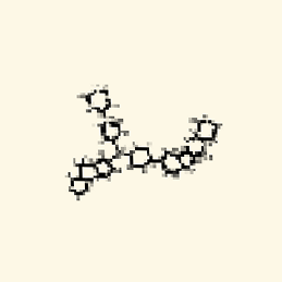 CC1(C)c2ccccc2-c2ccc(N(C3=CC=C(c4ccc5oc6cc7ccccc7nc6c5c4)CC3)c3ccc(-c4ccccc4)cc3)cc21